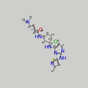 Cc1cc(Nc2ncc(Cl)c(NC3CCCC(NC(=O)/C=C/CN(C)C)C3)n2)sn1